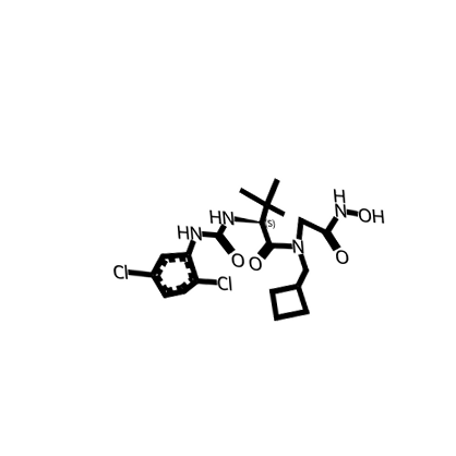 CC(C)(C)[C@H](NC(=O)Nc1cc(Cl)ccc1Cl)C(=O)N(CC(=O)NO)CC1CCC1